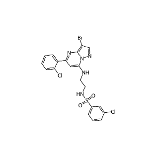 O=S(=O)(NCCNc1cc(-c2ccccc2Cl)nc2c(Br)cnn12)c1cccc(Cl)c1